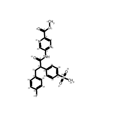 COC(=O)c1cnc(NC(=O)C(Cc2ccc(F)cc2)c2ccc(S(C)(=O)=O)cc2)cn1